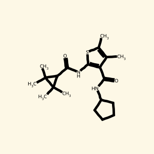 Cc1sc(NC(=O)C2C(C)(C)C2(C)C)c(C(=O)NC2CCCC2)c1C